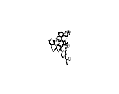 C=CC(=O)N1CCN2c3nc(=O)n(-c4c(C)ccnc4C(C)C)c4c(F)c(-c5c(C)ccc6[nH]ncc56)c(Cl)c(c34)S(=O)(=O)CC2C1